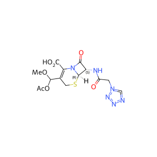 COC(OC(C)=O)C1=C(C(=O)O)N2C(=O)[C@H](NC(=O)Cn3cnnn3)[C@H]2SC1